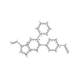 C=Cc1cnc2nc(-c3ccc(C=O)cc3)c(-c3ccccc3)cn12